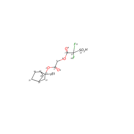 CCC1(OC(=O)COC(=O)C(F)(F)S(=O)(=O)O)CC2CCC1C2